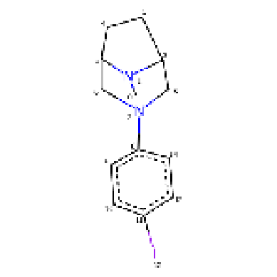 CN1C2CCC1CN(c1ccc(I)cc1)C2